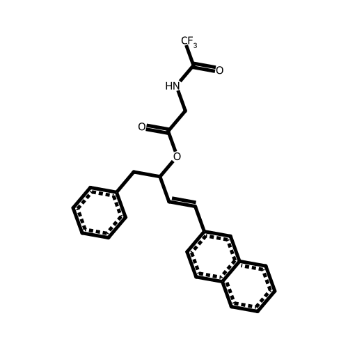 O=C(CNC(=O)C(F)(F)F)OC(/C=C/c1ccc2ccccc2c1)Cc1ccccc1